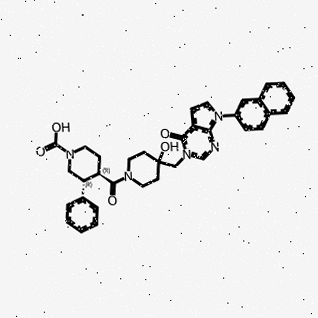 O=C(O)N1CC[C@@H](C(=O)N2CCC(O)(Cn3cnc4c(ccn4-c4ccc5ccccc5c4)c3=O)CC2)[C@H](c2ccccc2)C1